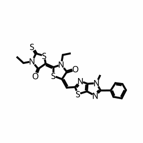 CCN1C(=O)/C(=c2\s/c(=C/c3nc4c(nc(-c5ccccc5)n4C)s3)c(=O)n2CC)SC1=S